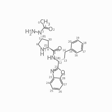 CC(=O)N(N)[C@H]1CN[C@H](C(=O)N[C@H](CCc2ccccc2)c2nc3ccccc3o2)C1